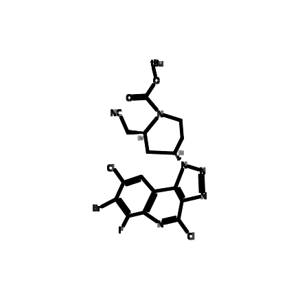 CC(C)(C)OC(=O)N1CC[C@H](n2nnc3c(Cl)nc4c(F)c(Br)c(Cl)cc4c32)C[C@H]1CC#N